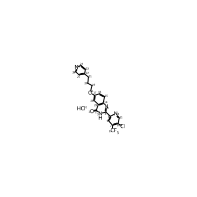 Cl.O=c1[nH]c(-c2cc(C(F)(F)F)c(Cl)cn2)nc2ccc(OCCCc3ccncc3)cc12